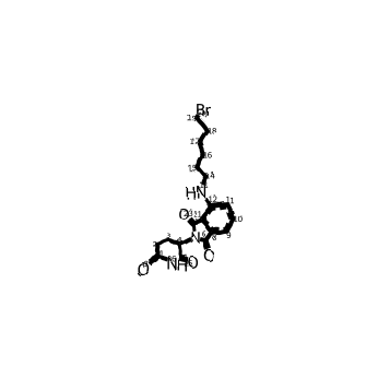 O=C1CCC(N2C(=O)c3cccc(NCCCCCCBr)c3C2=O)C(=O)N1